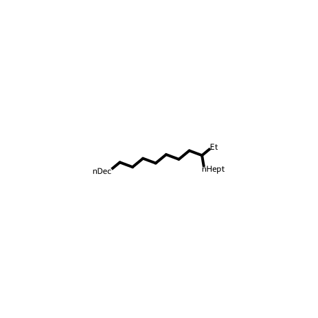 [CH2]CCCCCCCCCCCCCCCCC(CC)CCCCCC[CH2]